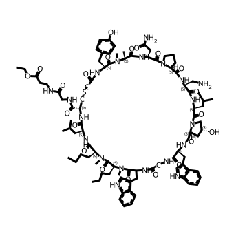 CCCC[C@H]1C(=O)N(C)[C@@H](CCCC)C(=O)N[C@@H](CC(C)C)C(=O)N[C@H](C(=O)NCC(=O)NCCC(=O)OCC)CSCC(=O)N[C@@H](Cc2ccc(O)cc2)C(=O)N(C)[C@@H](C)C(=O)N[C@@H](CC(N)=O)C(=O)N2CCC[C@H]2C(=O)N[C@@H](CN)C(=O)N[C@@H](CC(C)C)C(=O)N2C[C@H](O)C[C@H]2C(=O)N[C@@H](Cc2c[nH]c3ccccc23)C(=O)NCC(=O)NC(Cc2c[nH]c3ccccc23)C(=O)N1C